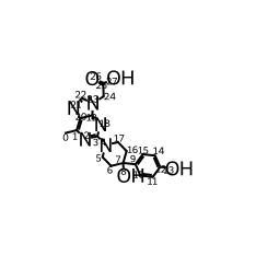 Cc1nc(N2CCC(O)(c3ccc(O)cc3)CC2)nc2c1ncn2CC(=O)O